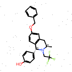 C[C@@H]1Cc2cc(OCc3ccccc3)ccc2[C@@H](c2ccc(O)cc2)N1CC(F)(F)F